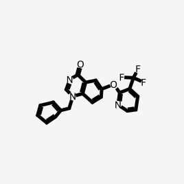 O=c1ncn(Cc2ccccc2)c2ccc(Oc3ncccc3C(F)(F)F)cc12